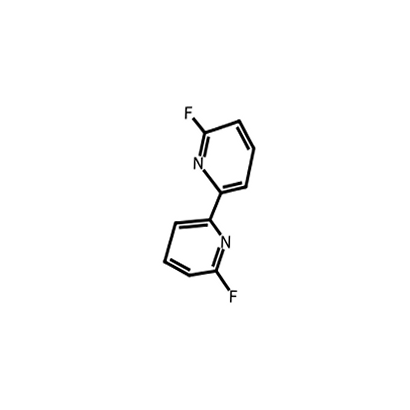 Fc1cccc(-c2cccc(F)n2)n1